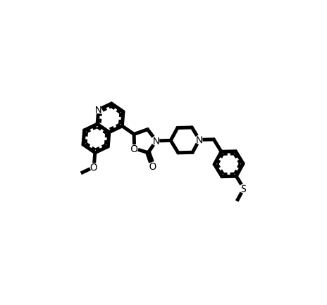 COc1ccc2nccc(C3CN(C4CCN(Cc5ccc(SC)cc5)CC4)C(=O)O3)c2c1